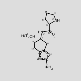 Cl.Cl.Nc1nc2c(s1)CC(NC(=O)C1CCCN1)CC2